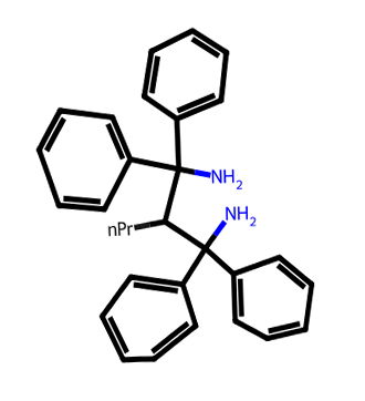 C[CH]CC(C(N)(c1ccccc1)c1ccccc1)C(N)(c1ccccc1)c1ccccc1